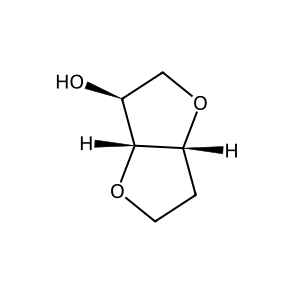 O[C@H]1CO[C@@H]2CCO[C@H]12